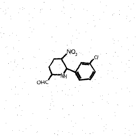 O=CC1CCC([N+](=O)[O-])C(c2cccc(Cl)c2)N1